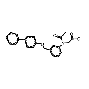 CC(=O)N(CC(=O)O)c1cccc(COc2ccc(-c3ccccc3)cc2)c1